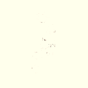 Oc1c(-c2cc(-c3ccccc3)cs2)cnc2c(-c3cc(-c4ccccc4)cs3)cnn12